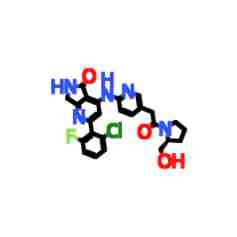 O=C1NCc2nc(-c3c(F)cccc3Cl)cc(Nc3ccc(CC(=O)N4CCC[C@H]4CO)cn3)c21